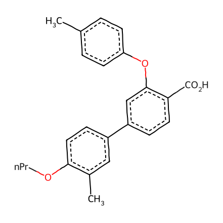 CCCOc1ccc(-c2ccc(C(=O)O)c(Oc3ccc(C)cc3)c2)cc1C